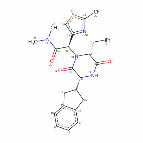 CC(C)C[C@@H]1C(=O)N[C@H](C2Cc3ccccc3C2)C(=O)N1[C@@H](C(=O)N(C)C)c1csc(C(F)(F)F)n1